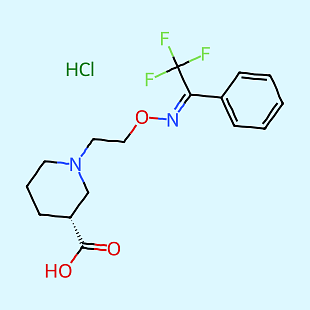 Cl.O=C(O)[C@@H]1CCCN(CCO/N=C(/c2ccccc2)C(F)(F)F)C1